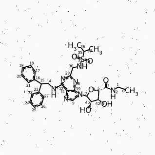 CCNC(=O)[C@H]1OC(n2cnc3c(NCC(c4ccccc4)c4ccccc4)nc(CNS(=O)(=O)C(C)C)nc32)[C@H](O)[C@@H]1O